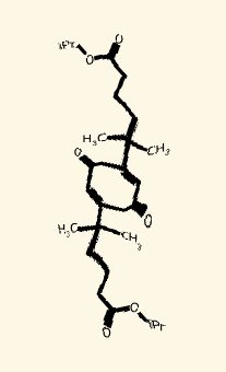 CC(C)OC(=O)CCCC(C)(C)C1=CC(=O)C(C(C)(C)CCCC(=O)OC(C)C)=CC1=O